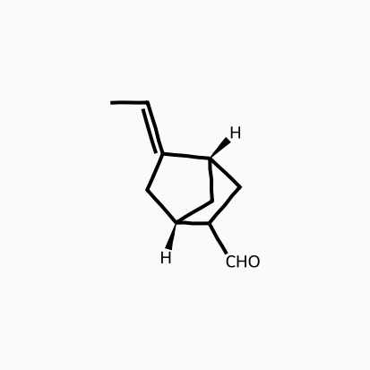 CC=C1C[C@@H]2C[C@H]1CC2C=O